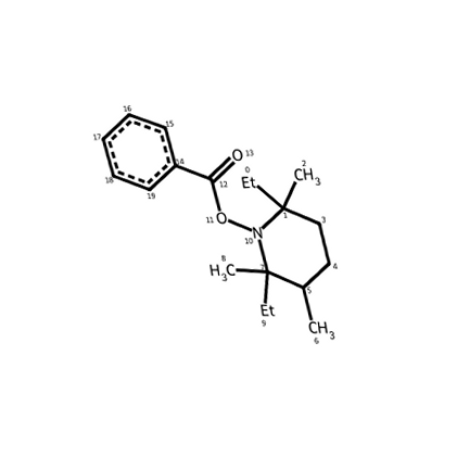 CCC1(C)CCC(C)C(C)(CC)N1OC(=O)c1ccccc1